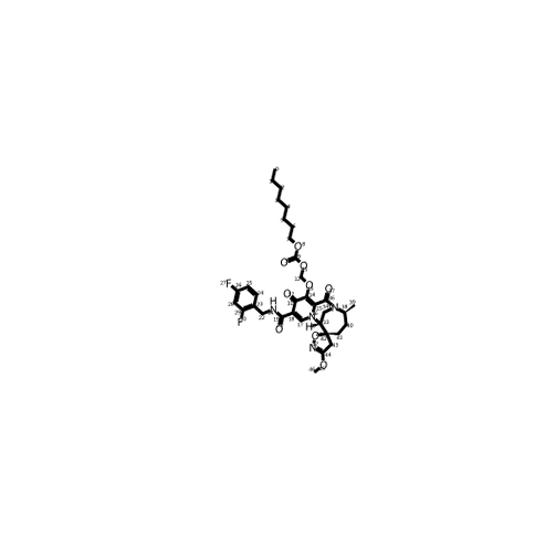 CCCCCCCCOC(=O)OCOc1c2n(cc(C(=O)NCc3ccc(F)cc3F)c1=O)[C@@H]1CN(C2=O)[C@@H](C)CC[C@]12CC(OC)=NO2